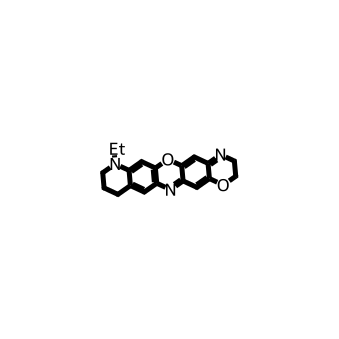 CCN1CCCc2cc3c(cc21)Oc1cc2c(cc1=N3)OCCN=2